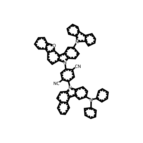 N#Cc1cc(-n2c3ccc(-n4c5ccccc5c5ccccc54)cc3c3c4oc5ccccc5c4ccc32)c(C#N)cc1-n1c2ccc(N(c3ccccc3)c3ccccc3)cc2c2c3ccccc3ccc21